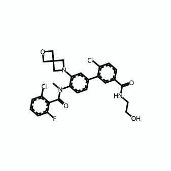 CN(C(=O)c1c(F)cccc1Cl)c1ccc(-c2cc(C(=O)NCCO)ccc2Cl)cc1N1CC2(COC2)C1